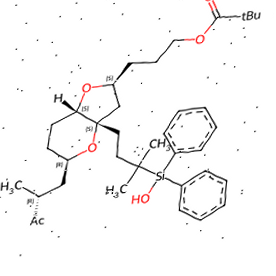 CC(=O)[C@H](C)C[C@H]1CC[C@@H]2O[C@@H](CCCOC(=O)C(C)(C)C)C[C@]2(CCC(C)(C)[Si](O)(c2ccccc2)c2ccccc2)O1